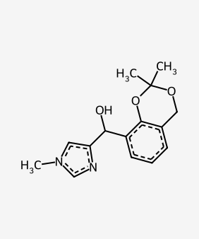 Cn1cnc(C(O)c2cccc3c2OC(C)(C)OC3)c1